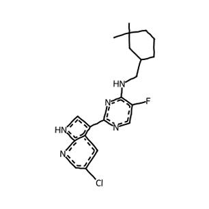 CC1(C)CCCC(CNc2nc(-c3c[nH]c4ncc(Cl)cc34)ncc2F)C1